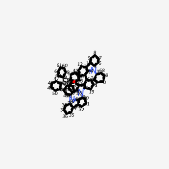 c1ccc(-n2c3ccccc3c3cccc(-c4cccc5c4c4ccccc4n5-c4cccc5c6ccccc6n(-c6ccc([Si](c7ccccc7)(c7ccccc7)c7ccccc7)cc6)c45)c32)cc1